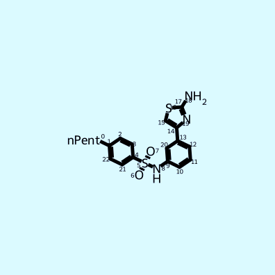 CCCCCc1ccc(S(=O)(=O)Nc2cccc(-c3csc(N)n3)c2)cc1